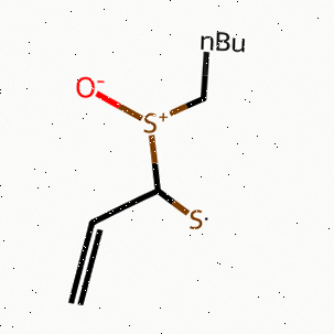 C=CC([S])[S+]([O-])CCCCC